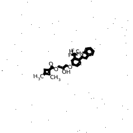 CC1CC(C(=O)OCC(O)COC2C=CC(C3Cc4ccccc4N3C)=C(C(F)(F)F)C2)C1C